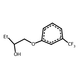 CCC(O)COc1cccc(C(F)(F)F)c1